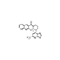 Cc1cc([C@H]2CCCN(C(=O)c3cc4cccnc4nc3C(F)(F)F)C2)n2ncnc2n1